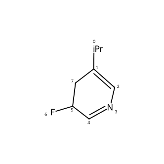 CC(C)C1=CN=CC(F)C1